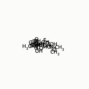 CNC(=O)C(O)(O)C(O)(O)C(C=O)NC(O)c1c(NC(O)(O)c2cc(C(O)(O)N3CC(C)OC(C)C3)ccc2F)cccc1C(=O)O